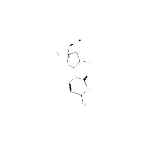 [N-]=[N+]=N[C@]1(CO)O[C@@H](N2C=CC(N)NC2=O)[C@H](O)[C@H]1O